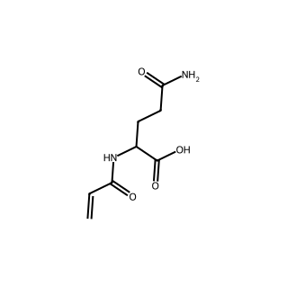 C=CC(=O)NC(CCC(N)=O)C(=O)O